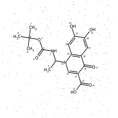 CC(NC(=O)OC(C)(C)C)n1cc(C(=O)O)c(=O)c2cc(O)c(O)cc21